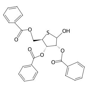 O=C(OC[C@H]1SC(O)[C@H](OC(=O)c2ccccc2)[C@@H]1OC(=O)c1ccccc1)c1ccccc1